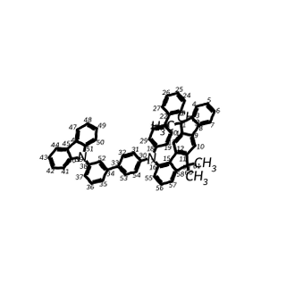 CC1(C)c2ccccc2-c2cc3c(cc21)-c1c(N(c2ccc(-c4ccccc4)cc2)c2ccc(-c4cccc(-n5c6ccccc6c6ccccc65)c4)cc2)cccc1C3(C)C